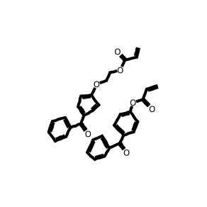 C=CC(=O)OCCOc1ccc(C(=O)c2ccccc2)cc1.C=CC(=O)Oc1ccc(C(=O)c2ccccc2)cc1